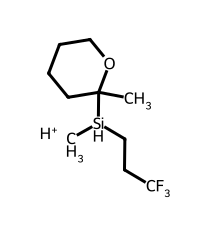 C[SiH](CCC(F)(F)F)C1(C)CCCCO1.[H+]